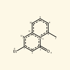 CCc1cc(=O)n2c(C)cccc2n1